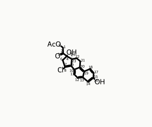 CC(=O)OCC(=O)[C@@]1(O)CC(Cl)=C2c3ccc4cc(O)ccc4c3CC[C@@]21C